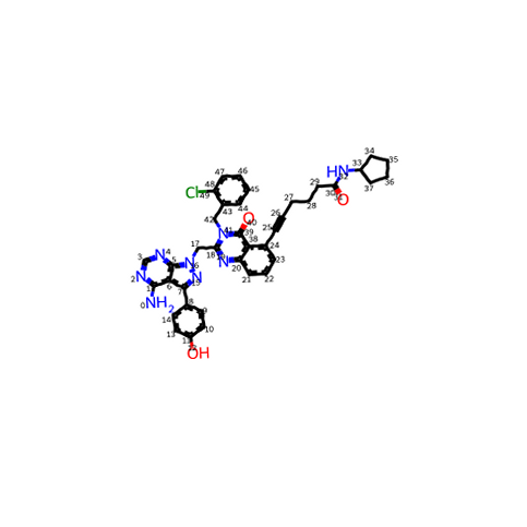 Nc1ncnc2c1c(-c1ccc(O)cc1)nn2Cc1nc2cccc(C#CCCCC(=O)NC3CCCC3)c2c(=O)n1Cc1ccccc1Cl